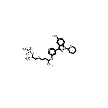 C[C@@H](CCOC[C@H](C)OS(C)(=O)=O)Oc1cncc(-c2nn(C3CCCCO3)c3ccc(O)cc23)c1